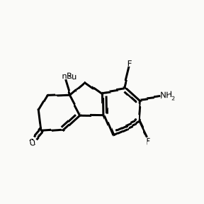 CCCCC12CCC(=O)C=C1c1cc(F)c(N)c(F)c1C2